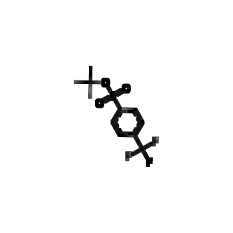 CC(C)(C)OS(=O)(=O)c1ccc(C(F)(F)F)cc1